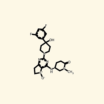 CN1C[C@@H](Nc2nc(N3CCC(O)(c4cc(F)cc(F)c4)CC3)nc3c2[S+]([O-])CC3)CCC1=O